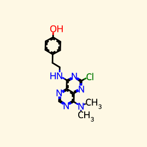 CN(C)c1ncnc2c(NCCc3ccc(O)cc3)nc(Cl)nc12